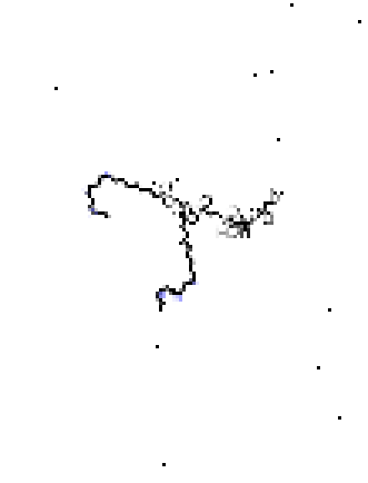 CC/C=C\C/C=C\C/C=C\CCCCCCCC(=O)OCC(COC(=O)CCNC(=O)[C@H](O)C(C)(C)COC(=O)CCN(C)C)OC(=O)CCCCCCC/C=C\C/C=C\C/C=C\CC